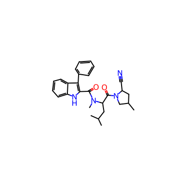 CC(C)CC(C(=O)N1CC(C)CC1C#N)N(C)C(=O)c1[nH]c2ccccc2c1-c1ccccc1